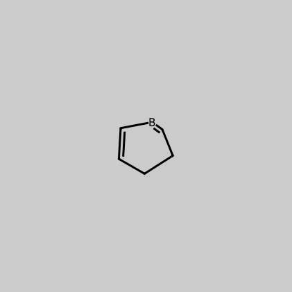 B1=CCCC=C1